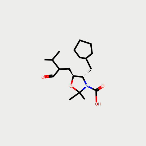 CC(C)C(C=O)C[C@@H]1OC(C)(C)N(C(=O)O)[C@H]1CC1CCCCC1